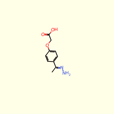 CC(=NN)c1ccc(OCC(=O)O)cc1